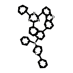 c1ccc(-c2ccc(N(c3ccccc3)c3ccc(-c4ccc5oc6cccc(-c7nc(-c8ccccc8)nc(-c8ccccc8)n7)c6c5c4)cc3)cc2)cc1